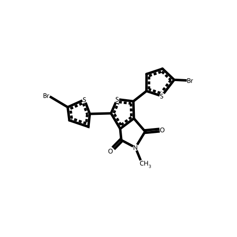 CN1C(=O)c2c(-c3ccc(Br)s3)sc(-c3ccc(Br)s3)c2C1=O